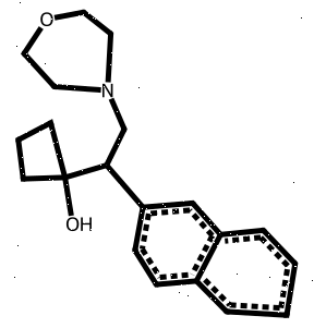 OC1(C(CN2CCOCC2)c2ccc3ccccc3c2)CCC1